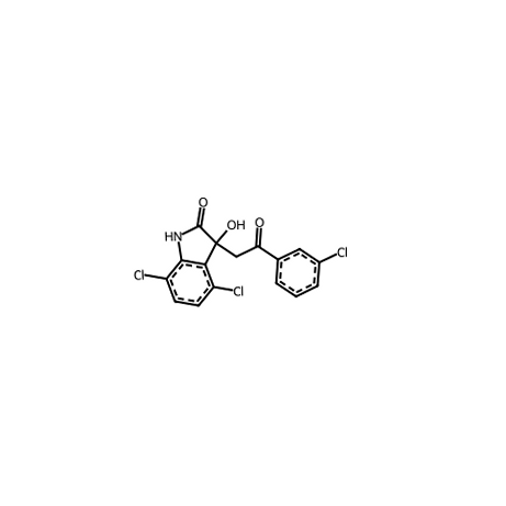 O=C(CC1(O)C(=O)Nc2c(Cl)ccc(Cl)c21)c1cccc(Cl)c1